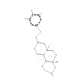 CCCC1CC[C@@H]2[C@H](CC[C@H]3CC(CCc4cc(F)c(F)c(F)c4)CC[C@@H]32)C1